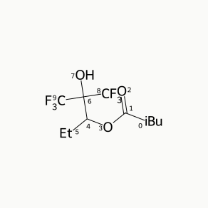 CCC(C)C(=O)OC(CC)C(O)(C(F)(F)F)C(F)(F)F